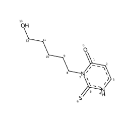 O=c1cc[nH]c(=S)n1CCCCCO